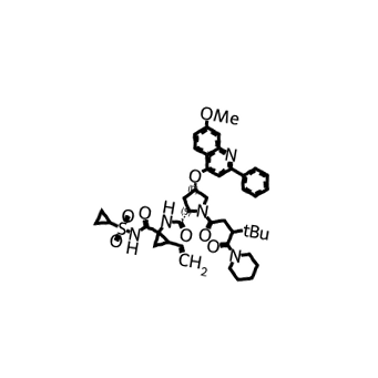 C=CC1CC1(NC(=O)[C@@H]1C[C@@H](Oc2cc(-c3ccccc3)nc3cc(OC)ccc23)CN1C(=O)CC(C(=O)N1CCCCC1)C(C)(C)C)C(=O)NS(=O)(=O)C1CC1